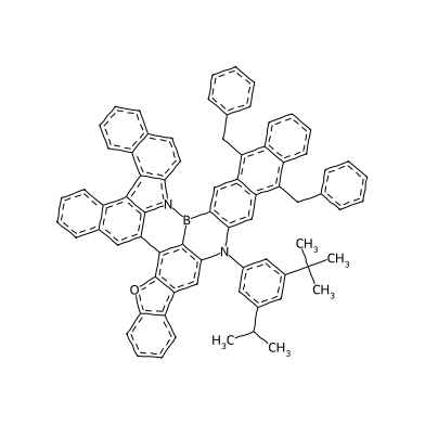 CC(C)c1cc(N2c3cc4c(Cc5ccccc5)c5ccccc5c(Cc5ccccc5)c4cc3B3c4c2cc2c(oc5ccccc52)c4-c2cc4ccccc4c4c5c6ccccc6ccc5n3c24)cc(C(C)(C)C)c1